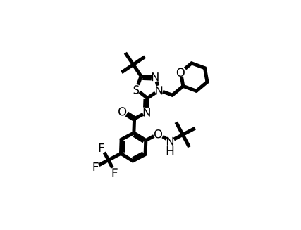 CC(C)(C)NOc1ccc(C(F)(F)F)cc1C(=O)N=c1sc(C(C)(C)C)nn1CC1CCCCO1